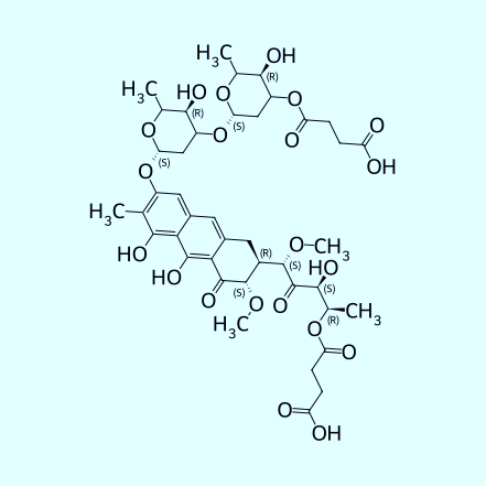 CO[C@@H]1C(=O)c2c(cc3cc(O[C@H]4CC(O[C@H]5CC(OC(=O)CCC(=O)O)[C@H](O)C(C)O5)[C@H](O)C(C)O4)c(C)c(O)c3c2O)C[C@H]1[C@H](OC)C(=O)[C@@H](O)[C@@H](C)OC(=O)CCC(=O)O